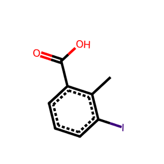 Cc1c(I)cccc1C(=O)O